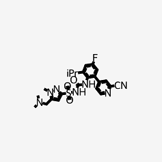 CC(C)c1cc(F)cc(-c2ccnc(C#N)c2)c1NC(=O)NS(=O)(=O)c1cc(CN(C)C)n(C)n1